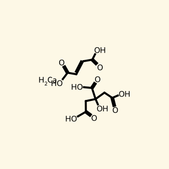 O=C(O)C=CC(=O)O.O=C(O)CC(O)(CC(=O)O)C(=O)O.[CaH2]